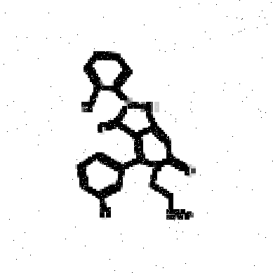 COCCn1c(-c2cccc(Cl)c2)c2c(=O)n(-c3ccccc3Cl)[nH]c2cc1=O